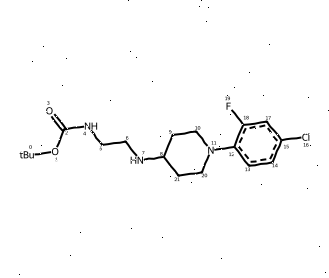 CC(C)(C)OC(=O)NCCNC1CCN(c2ccc(Cl)cc2F)CC1